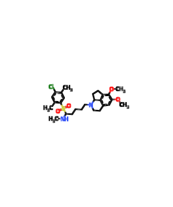 CNC(CCCCN1CCc2cc(OC)c(OC)c3c2C1CC3)S(=O)(=O)c1cc(C)c(Cl)cc1C